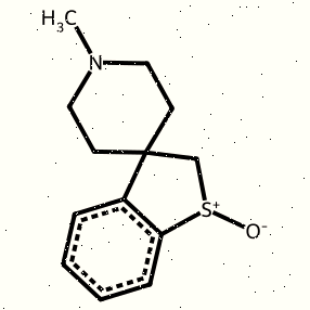 CN1CCC2(CC1)C[S+]([O-])c1ccccc12